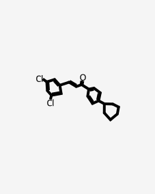 O=C(C=Cc1cc(Cl)cc(Cl)c1)c1ccc(C2CCCCC2)cc1